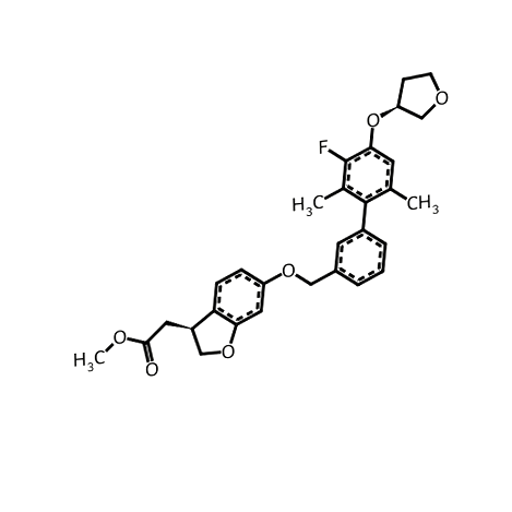 COC(=O)C[C@@H]1COc2cc(OCc3cccc(-c4c(C)cc(O[C@H]5CCOC5)c(F)c4C)c3)ccc21